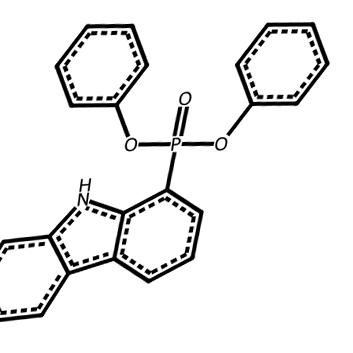 O=P(Oc1ccccc1)(Oc1ccccc1)c1cccc2c1[nH]c1ccccc12